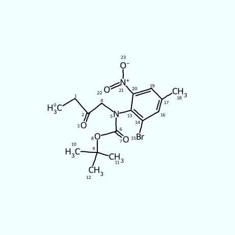 CCC(=O)CN(C(=O)OC(C)(C)C)c1c(Br)cc(C)cc1[N+](=O)[O-]